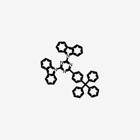 c1ccc(C(c2ccccc2)(c2ccccc2)c2ccc(-c3nc(-n4c5ccccc5c5ccccc54)nc(-n4c5ccccc5c5ccccc54)n3)cc2)cc1